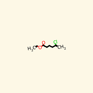 C=COC(=O)CCCC(=C)Cl